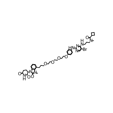 CN(CCCNc1nc(Nc2ccc(OCCOCCOCCOCCCc3cccc4c3n(C)c(=O)n4C3CCC(=O)NC3=O)cc2)ncc1Br)C(=O)C1CCC1